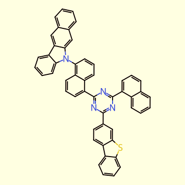 c1ccc2cc3c(cc2c1)c1ccccc1n3-c1cccc2c(-c3nc(-c4ccc5c(c4)sc4ccccc45)nc(-c4cccc5ccccc45)n3)cccc12